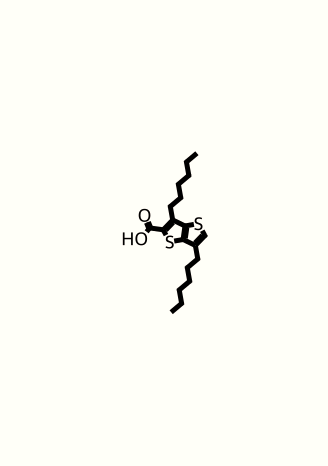 CCCCCCc1csc2c(CCCCCC)c(C(=O)O)sc12